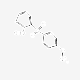 O=Cc1ccccc1S(=O)(=O)c1ccc(OC(F)(F)F)cc1